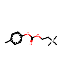 Cc1ccc(OC(=O)OCC[Si](C)(C)C)cc1